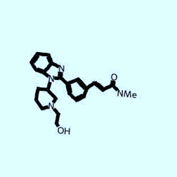 CNC(=O)/C=C/c1cccc(-c2nc3ccccc3n2C2CCCN(CCO)C2)c1